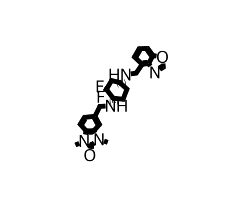 Cn1c(=O)n(C)c2cc(CN[C@@H]3CC[C@@H](NCc4cccc5ocnc45)CC3(F)F)ccc21